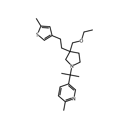 CCOCC1(CCc2csc(C)c2)CCN(C(C)(C)c2ccc(C)nc2)C1